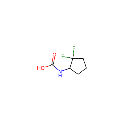 O=C(O)NC1CCCC1(F)F